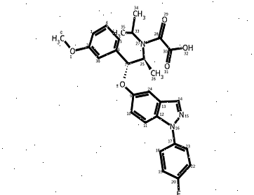 COc1cccc([C@@H](Oc2ccc3c(cnn3-c3ccc(F)cc3)c2)[C@H](C)N(C(=O)C(=O)O)C(C)C)c1